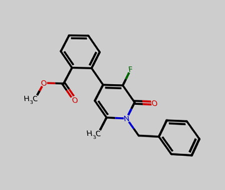 COC(=O)c1ccccc1-c1cc(C)n(Cc2ccccc2)c(=O)c1F